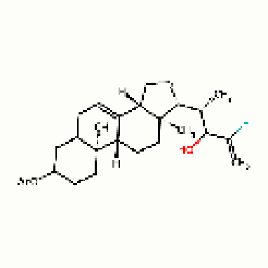 C=C(F)C(O)[C@@H](C)[C@H]1CC[C@H]2C3=CCC4CC(OC(C)=O)CC[C@]4(C)[C@H]3CC[C@]12C